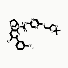 CC1(C)OCC(COc2cnc(NC(=O)N3c4nc(-c5cccc(C(F)(F)F)c5)c(Cl)cc4N4CCC3C4)cn2)O1